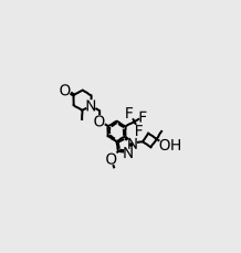 COc1nn(C2CC(C)(O)C2)c2c(C(F)(F)F)cc(OCN3CCC(=O)CC3C)cc12